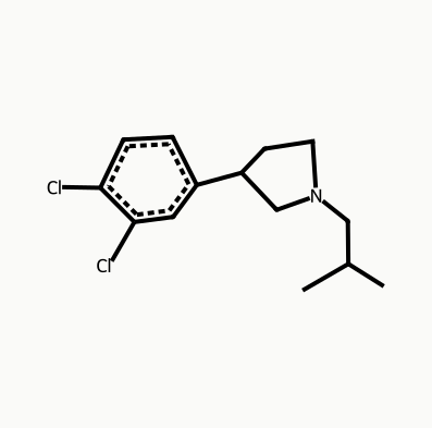 CC(C)CN1CCC(c2ccc(Cl)c(Cl)c2)C1